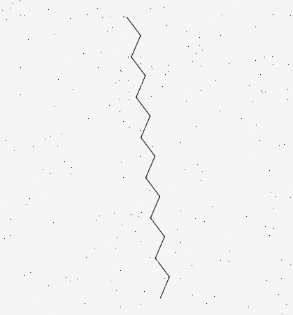 [CH2]C[CH]CCCCCCCCCCCC